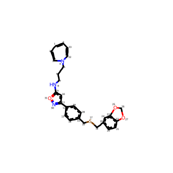 C1=CC=CN(CCCNc2cc(-c3ccc(CSCc4ccc5c(c4)OCO5)cc3)no2)C=C1